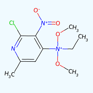 CC[N+](OC)(OC)c1cc(C)nc(Cl)c1[N+](=O)[O-]